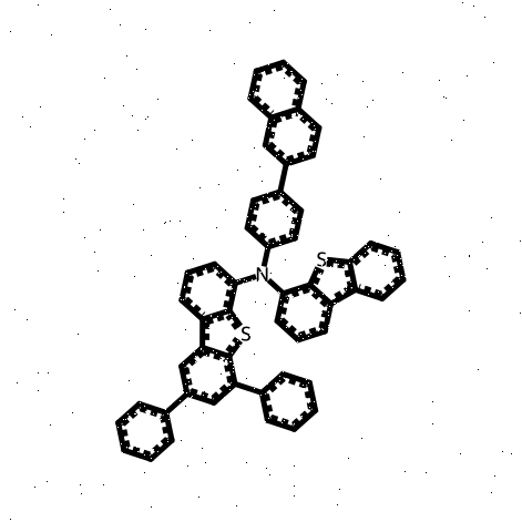 c1ccc(-c2cc(-c3ccccc3)c3sc4c(N(c5ccc(-c6ccc7ccccc7c6)cc5)c5cccc6c5sc5ccccc56)cccc4c3c2)cc1